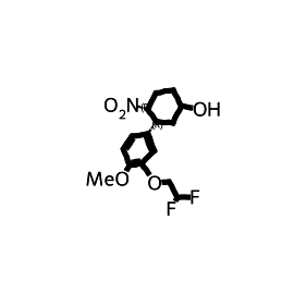 COc1ccc([C@H]2CC(O)CC[C@H]2[N+](=O)[O-])cc1OCC(F)F